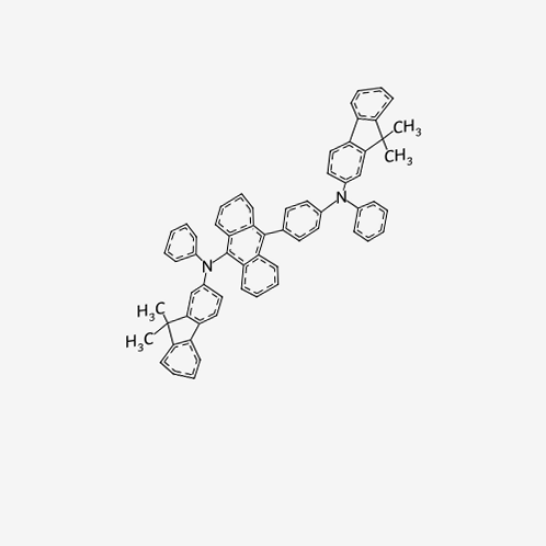 CC1(C)c2ccccc2-c2ccc(N(c3ccccc3)c3ccc(-c4c5ccccc5c(N(c5ccccc5)c5ccc6c(c5)C(C)(C)c5ccccc5-6)c5ccccc45)cc3)cc21